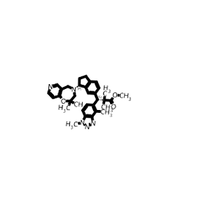 COC(=O)C(C)(C)[C@@H](c1ccc2c(c1)[C@H](N1Cc3cnccc3OC(C)(C)C1)CC2)c1ccc2c(nnn2C)c1C